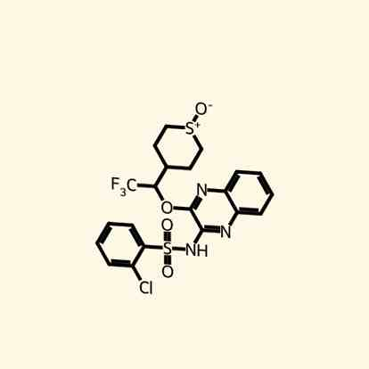 O=S(=O)(Nc1nc2ccccc2nc1OC(C1CC[S+]([O-])CC1)C(F)(F)F)c1ccccc1Cl